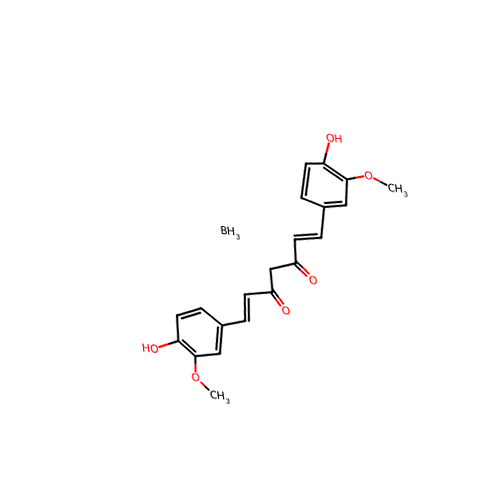 B.COc1cc(/C=C/C(=O)CC(=O)/C=C/c2ccc(O)c(OC)c2)ccc1O